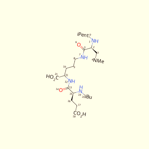 CCCC(C)N[C@@H](CNC)C(=O)NCCCC(NC(=O)[C@H](CCC(=O)O)NC(C)CC)C(=O)O